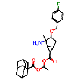 CC(OC(=O)C1C2CC(OCc3ccc(F)cc3)C(C)(N)C21)OC(=O)C12CC3CC(CC(C3)C1)C2